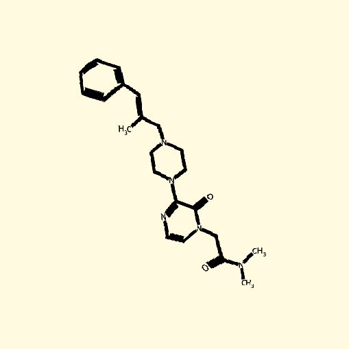 C/C(=C\c1ccccc1)CN1CCN(c2nccn(CC(=O)N(C)C)c2=O)CC1